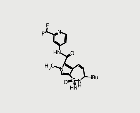 CC[C@H](C)C1C=Cc2c(cn(C)c2C(=O)Nc2ccnc(C(F)F)c2)S(=N)(=O)N1